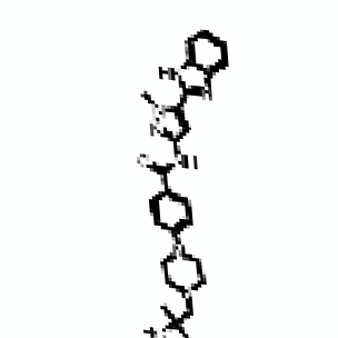 Cn1nc(NC(=O)c2ccc(N3CCN(CC(C)(C)O)CC3)cc2)cc1-c1nc2ccccc2[nH]1